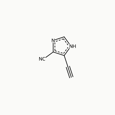 C#Cc1[nH]cnc1C#N